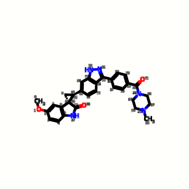 COc1ccc2c(c1)[C@]1(C[C@H]1c1ccc3c(-c4ccc(C(=O)N5CCN(C)CC5)cc4)n[nH]c3c1)C(=O)N2